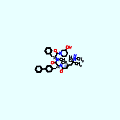 CNC(C)(C)C/C=C/C(=O)N(C)[C@H](Cc1ccc(-c2ccccc2)cc1)C(=O)N(C)[C@H](Cc1ccccc1)C(=O)N1CCCC(O)C1